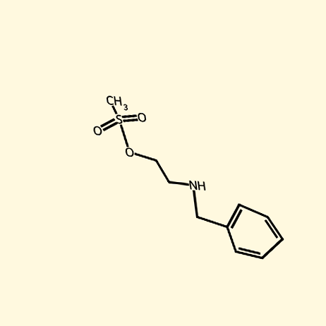 CS(=O)(=O)OCCNCc1ccccc1